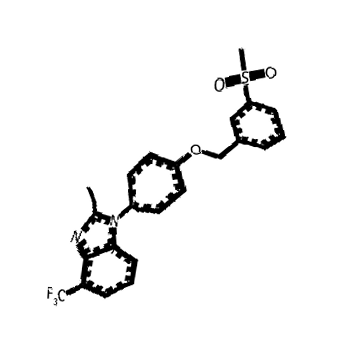 Cc1nc2c(C(F)(F)F)cccc2n1-c1ccc(OCc2cccc(S(C)(=O)=O)c2)cc1